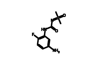 CS(C)(=O)=NC(=O)Nc1cc(N)ccc1F